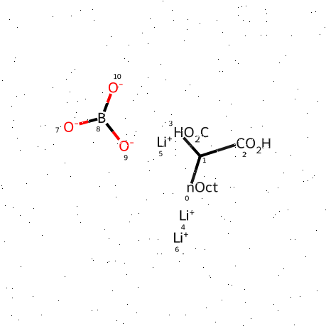 CCCCCCCCC(C(=O)O)C(=O)O.[Li+].[Li+].[Li+].[O-]B([O-])[O-]